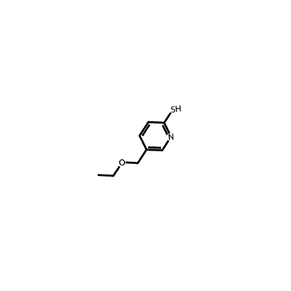 CCOCc1ccc(S)nc1